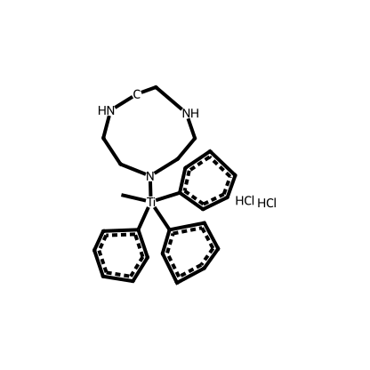 Cl.Cl.[CH3][Ti]([c]1ccccc1)([c]1ccccc1)([c]1ccccc1)[N]1CCNCCNCC1